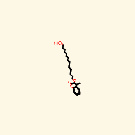 Cc1c(OCCCCCCCCCCCCCCO)c(=O)oc2ccccc12